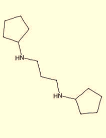 C(CNC1CCCC1)CNC1CCCC1